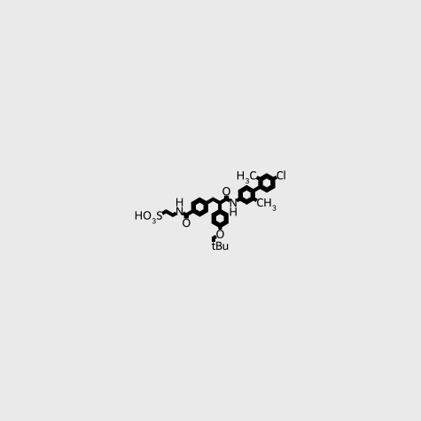 Cc1cc(Cl)ccc1-c1ccc(NC(=O)C(Cc2ccc(C(=O)NCCS(=O)(=O)O)cc2)c2ccc(OCC(C)(C)C)cc2)cc1C